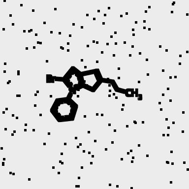 CCCC1=Cc2cc(Br)n(-c3ccccc3)c2C1